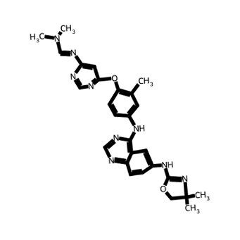 Cc1cc(Nc2ncnc3ccc(NC4=NC(C)(C)CO4)cc23)ccc1Oc1cc(/N=C/N(C)C)ncn1